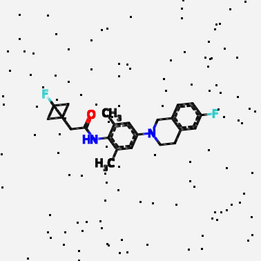 Cc1cc(N2CCc3cc(F)ccc3C2)cc(C)c1NC(=O)CC12CC1(F)C2